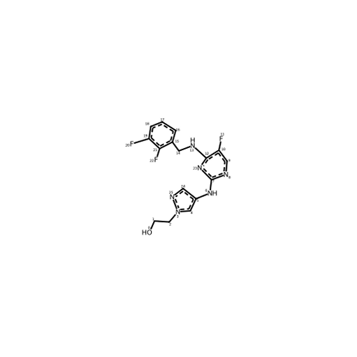 OCCn1cc(Nc2ncc(F)c(NCc3cccc(F)c3F)n2)cn1